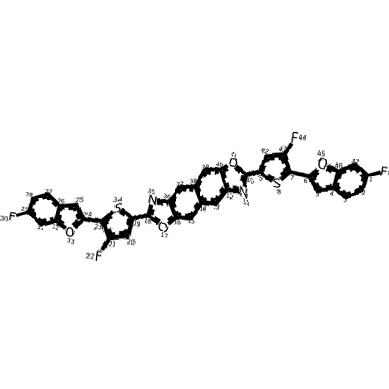 Fc1ccc2cc(-c3sc(-c4nc5cc6cc7oc(-c8cc(F)c(-c9cc%10ccc(F)cc%10o9)s8)nc7cc6cc5o4)cc3F)oc2c1